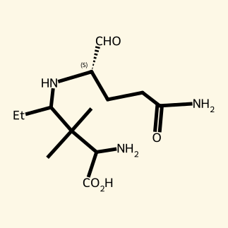 CCC(N[C@H](C=O)CCC(N)=O)C(C)(C)C(N)C(=O)O